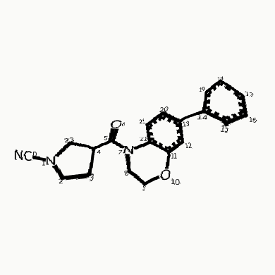 N#CN1CCC(C(=O)N2CCOc3cc(-c4ccccc4)ccc32)C1